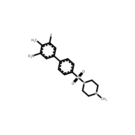 Cc1c(F)cc(-c2ccc(S(=O)(=O)N3CCN(C)CC3)cc2)cc1[N+](=O)[O-]